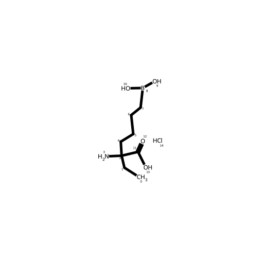 CCC(N)(CCCCB(O)O)C(=O)O.Cl